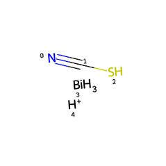 N#CS.[BiH3].[H+]